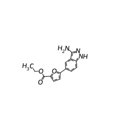 CCOC(=O)c1ccc(-c2ccc3[nH]nc(N)c3c2)o1